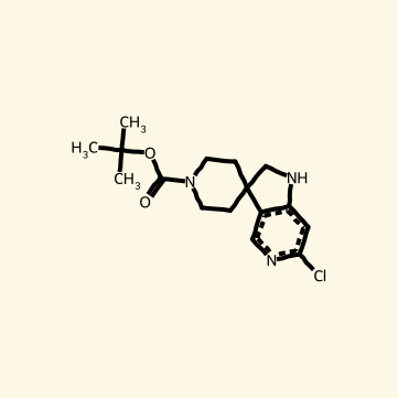 CC(C)(C)OC(=O)N1CCC2(CC1)CNc1cc(Cl)ncc12